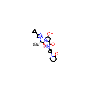 CC(C)(C)[C@@H](C(=O)N1C[C@H](O)C[C@H]1C(=O)NC12CC(N3CCCCC3=O)(C1)C2)n1cc(C2CC2)nn1